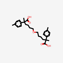 Cc1ccc(C(C)(CCCCOCCCCC(C)(C(=O)O)c2ccc(C)cc2)C(=O)O)cc1